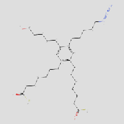 [N-]=[N+]=NCCCCCc1cc(CCCCCCC(=O)S)c(CCCCCCC(=O)S)cc1CCCCCO